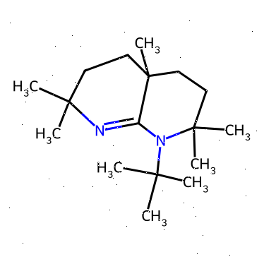 CC1(C)CCC2(C)CCC(C)(C)N(C(C)(C)C)C2=N1